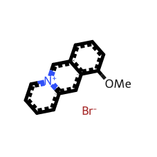 COc1cccc2c[n+]3ccccc3cc12.[Br-]